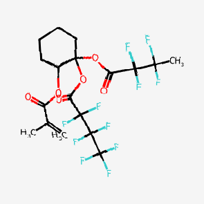 C=C(C)C(=O)OC1CCCCC1(OC(=O)C(F)(F)C(C)(F)F)OC(=O)C(F)(F)C(F)(F)C(F)(F)F